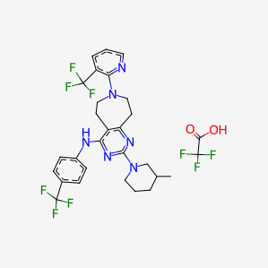 CC1CCCN(c2nc3c(c(Nc4ccc(C(F)(F)F)cc4)n2)CCN(c2ncccc2C(F)(F)F)CC3)C1.O=C(O)C(F)(F)F